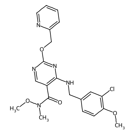 COc1ccc(CNc2nc(OCc3ccccn3)ncc2C(=O)N(C)OC)cc1Cl